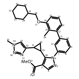 COC(=O)c1cnn(-c2cccc(-c3cccc(OCC4CCCCC4)c3C)c2)c1C1CC1c1cn(C)nn1